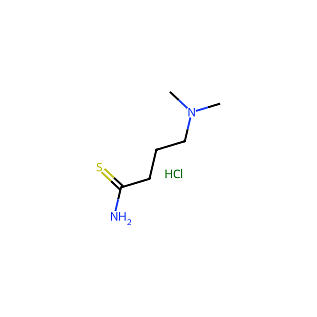 CN(C)CCCC(N)=S.Cl